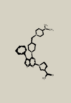 CN(C)C1CCN(CC2CCN(c3nc(N4CCC(C(N)=O)C4)nc4scc(-c5ccccc5)c34)CC2)CC1